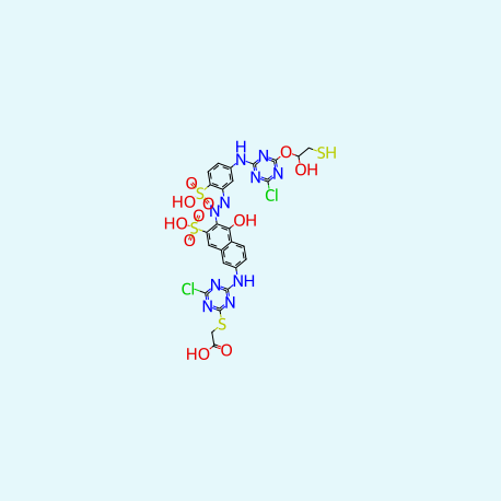 O=C(O)CSc1nc(Cl)nc(Nc2ccc3c(O)c(N=Nc4cc(Nc5nc(Cl)nc(OC(O)CS)n5)ccc4S(=O)(=O)O)c(S(=O)(=O)O)cc3c2)n1